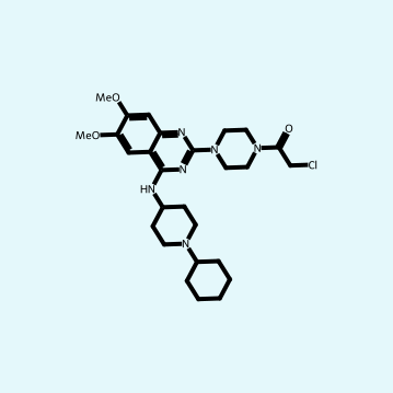 COc1cc2nc(N3CCN(C(=O)CCl)CC3)nc(NC3CCN(C4CCCCC4)CC3)c2cc1OC